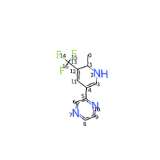 CC1NC=C(c2cnccn2)C=C1C(F)(F)F